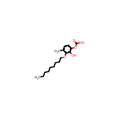 CCCCCCCCCOc1c(C)ccc(OC(=O)O)c1O